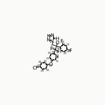 OC(Cn1cnnn1)(c1ccc(F)cc1F)C(F)(F)c1ccc(Oc2ccc(Cl)cc2)cn1